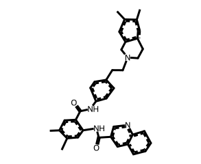 Cc1cc2c(cc1C)CN(CCc1ccc(NC(=O)c3cc(C)c(C)cc3NC(=O)c3cnc4ccccc4c3)cc1)CC2